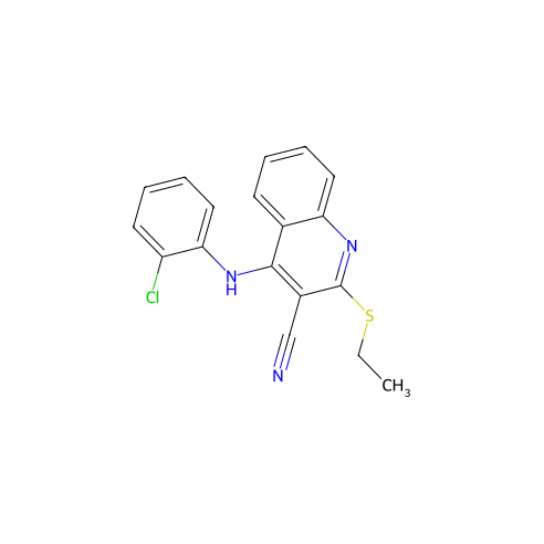 CCSc1nc2ccccc2c(Nc2ccccc2Cl)c1C#N